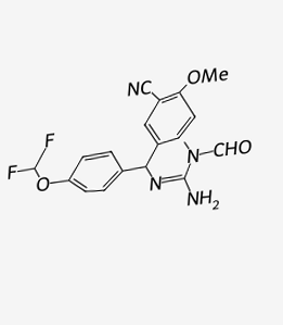 COc1ccc(C(/N=C(/N)N(C)C=O)c2ccc(OC(F)F)cc2)cc1C#N